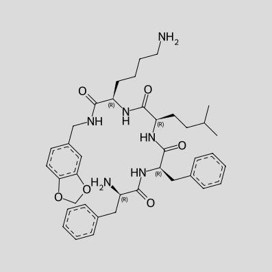 CC(C)CC[C@@H](NC(=O)[C@@H](Cc1ccccc1)NC(=O)[C@H](N)Cc1ccccc1)C(=O)N[C@H](CCCCN)C(=O)NCc1ccc2c(c1)OCO2